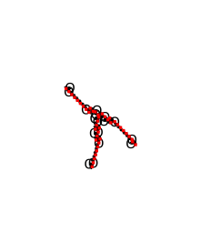 C=CC(=O)OCCCCCCCCCCCOc1ccc(C(=O)Oc2ccc(OC(=O)c3ccc(OCCCCCCCCCCCOC(=O)C=C)cc3)c(C(=O)OCc3ccc(OC(=O)c4ccc(OCCCCCCCCCOC(=O)C=C)cc4)cc3)c2)cc1